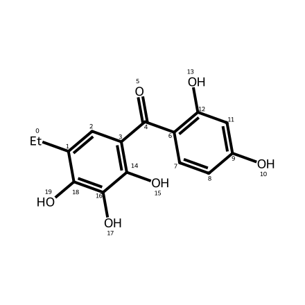 CCc1cc(C(=O)c2ccc(O)cc2O)c(O)c(O)c1O